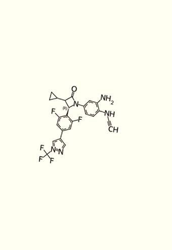 C#CNc1ccc(N2C(=O)C(C3CC3)[C@@H]2c2c(F)cc(-c3cnn(C(F)(F)F)c3)cc2F)cc1N